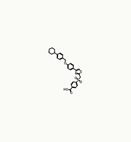 O=C(O)c1ccc(S(=O)(=O)Cc2nc(-c3ccc(OCc4ccc(C5CCCCC5)cc4)cc3)cs2)cc1